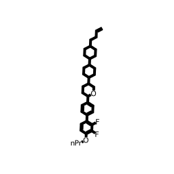 C=CCCC1CCC(C2CCC(C3CCC(c4ccc(-c5ccc(OCCC)c(F)c5F)cc4)OC3)CC2)CC1